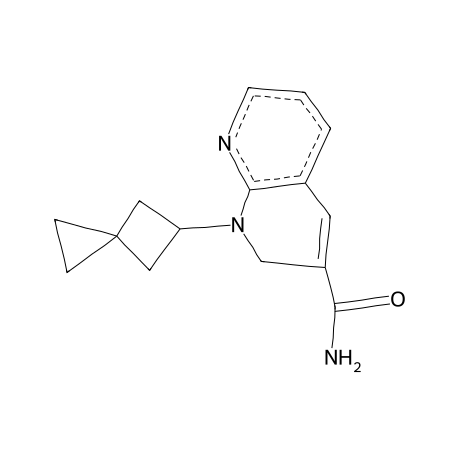 NC(=O)C1=Cc2cccnc2N(C2CC3(CC3)C2)C1